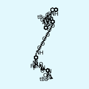 C[C@@H](C(=O)N[C@H](C(=O)N1Cc2cc(OCCOCCOCCOCCOCCOCCNCc3ccc(-n4cc(NC(=O)c5coc(-c6ccnc(N(CC7CC7)C(=O)OC(C)(C)C)c6)n5)c(C(F)F)n4)cc3)ccc2C[C@H]1C(=O)N[C@@H]1CCCc2ccccc21)C(C)(C)C)N(C)C(=O)OCc1ccccc1